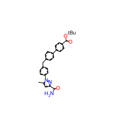 Cc1cc(C(N)=O)nn1-c1ccc(Cc2ccc(-c3ccc(C(=O)OC(C)(C)C)cc3)cc2)cc1